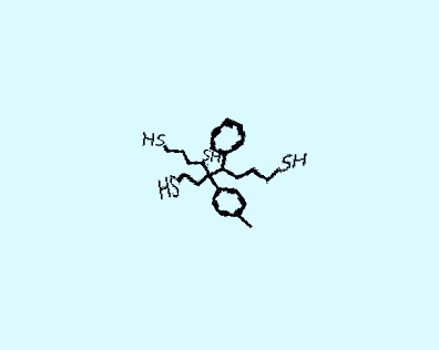 Cc1ccc(C(CCS)([C](S)CCCS)C(CC[CH]S)c2ccccc2)cc1